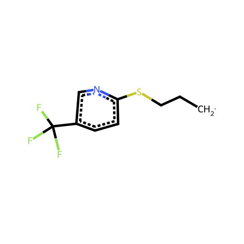 [CH2]CCSc1ccc(C(F)(F)F)cn1